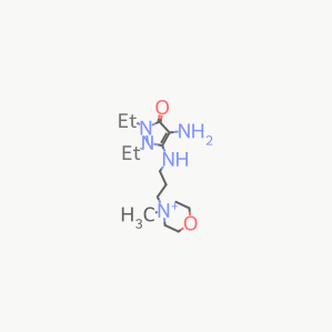 CCn1c(NCCC[N+]2(C)CCOCC2)c(N)c(=O)n1CC